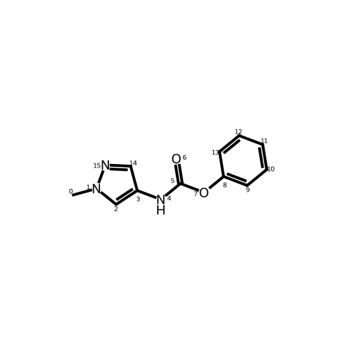 Cn1cc(NC(=O)Oc2ccccc2)cn1